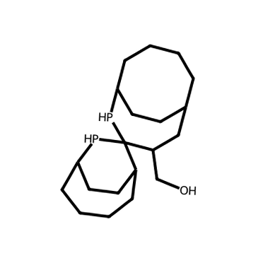 OCC1CC2CCCCC(CC2)PC12PC1CCCCC2CC1